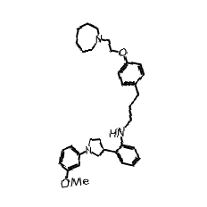 COc1cccc(N2CCC(c3ccccc3NCCCc3ccc(OCCN4CCCCCC4)cc3)C2)c1